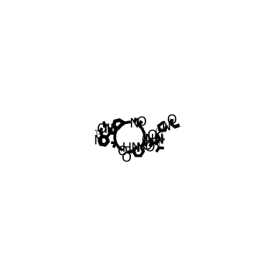 C=CC(=O)N1CC[C@H](C(=O)N(C)[C@H](C(=O)N[C@H]2CCC(=O)N(C)Cc3ccc4c(c3)c(c(-c3cccnc3[C@H](C)O)n4CC)CC(C)(C)COC(=O)[C@@]3(C)CCCN(N3)C2=O)C(C)C)C1